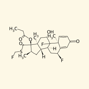 CCC(=O)O[C@]1(C(=O)SCF)[C@H](C)C[C@H]2[C@@H]3C[C@H](F)C4=CC(=O)C=C[C@]4(C)C3(F)[C@@H](O)C[C@@]21C